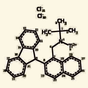 CC(C)(C)[N]([Ti+2])Cc1c(C2c3ccccc3-c3ccccc32)ccc2ccccc12.[Cl-].[Cl-]